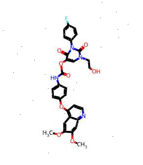 COc1cc2nccc(Oc3ccc(NC(=O)Oc4cn(CCO)c(=O)n(-c5ccc(F)cc5)c4=O)cc3)c2cc1OC